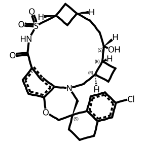 O=C1NS(=O)(=O)[C@H]2C[C@@H](CC[C@H](O)[C@@H]3CC[C@H]3CN3C[C@@]4(CCCc5cc(Cl)ccc54)COc4ccc1cc43)C2